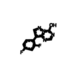 Oc1ncnc2c(-c3ccc(F)cc3F)cnn12